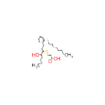 CCCC=C(O)[C@@H](CCc1ccccc1CCCCCCCCC)SCCC(=O)O